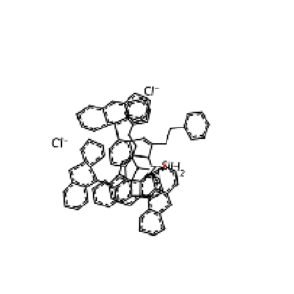 [CH3][Zr]([CH3])(=[SiH2])([CH]1C(CCc2ccccc2)=Cc2c(-c3c4ccccc4cc4ccccc34)ccc(-c3c4ccccc4cc4ccccc34)c21)[CH]1C(CCc2ccccc2)=Cc2c(-c3c4ccccc4cc4ccccc34)ccc(-c3c4ccccc4cc4ccccc34)c21.[Cl-].[Cl-]